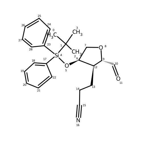 CC(C)(C)[Si](O[C@H]1CO[C@H](C=O)[C@H]1CCC#N)(c1ccccc1)c1ccccc1